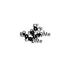 COc1ccc(-c2ccc(C(=O)OF)cc2C)cc1-c1cnc(N2CC(OC)C2)nc1CN1C(=O)O[C@H](c2cc(C(F)(F)F)cc(C(F)(F)F)c2)[C@@H]1C